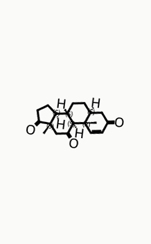 C[C@]12C=CC(=O)C[C@@H]1CC[C@@H]1[C@@H]2C(=O)C[C@]2(C)C(=O)CC[C@@H]12